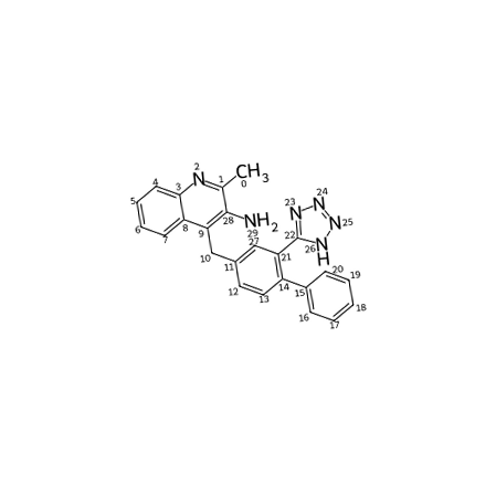 Cc1nc2ccccc2c(Cc2ccc(-c3ccccc3)c(-c3nnn[nH]3)c2)c1N